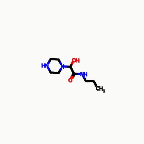 CCCNC(=O)C(O)N1CCNCC1